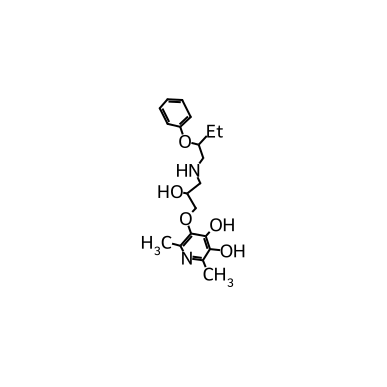 CCC(CNCC(O)COc1c(C)nc(C)c(O)c1O)Oc1ccccc1